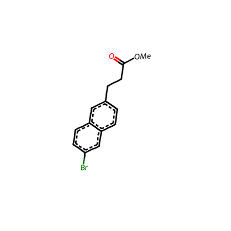 COC(=O)CCc1ccc2cc(Br)ccc2c1